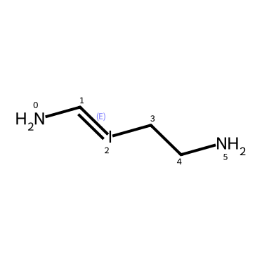 N/C=I/CCN